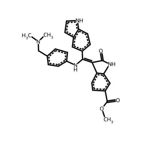 COC(=O)c1ccc2c(c1)NC(=O)C2=C(Nc1ccc(CN(C)C)cc1)c1ccc2[nH]ccc2c1